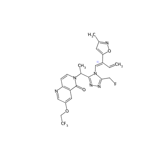 C=C/C(=C\n1c(CF)nnc1C(C)n1ccc2ncc(OCC(F)(F)F)cc2c1=O)c1cc(C)no1